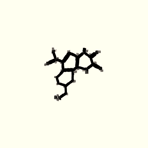 NCC1CCc2c([N+](=O)[O-])cc3[nH]c(=O)c(=O)[nH]c3c2C1